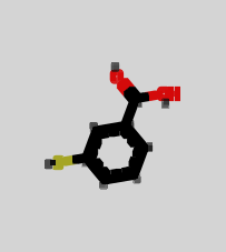 O=C(O)c1cccc([S])c1